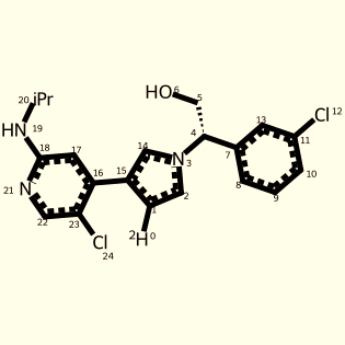 [2H]c1cn([C@H](CO)c2cccc(Cl)c2)cc1-c1cc(NC(C)C)ncc1Cl